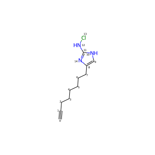 C#CCCCCCCc1c[nH]c(NCl)n1